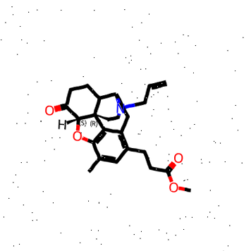 C=CCN1CC[C@@]23c4c5c(CCC(=O)OC)cc(C)c4O[C@@H]2C(=O)CCC3C1C5